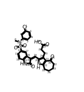 CN(c1cccc(Cl)c1)S(=O)(=O)c1ccc2c(c1)C(=Cc1[nH]c3c(c1CCC(=O)O)C(=O)CCCC3)C(=O)N2